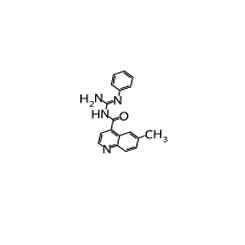 Cc1ccc2nccc(C(=O)NC(N)=Nc3ccccc3)c2c1